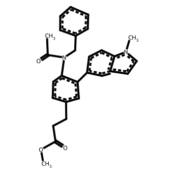 COC(=O)CCc1ccc(N(Cc2ccccc2)C(C)=O)c(-c2ccc3c(ccn3C)c2)c1